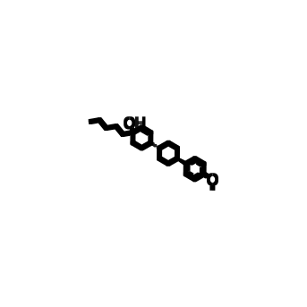 CCCCCC1(O)C=CC([C@H]2CC[C@H](c3ccc(OC)cc3)CC2)CC1